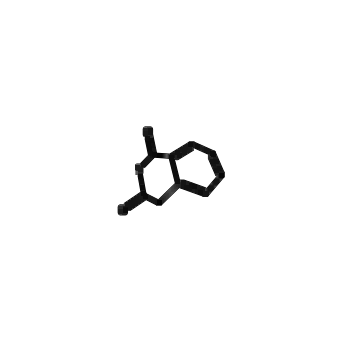 O=C1Cc2ccccc2C(=O)S1